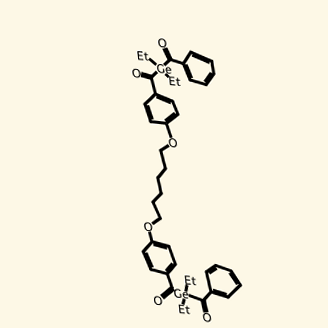 C[CH2][Ge]([CH2]C)([C](=O)c1ccccc1)[C](=O)c1ccc(OCCCCCCOc2ccc([C](=O)[Ge]([CH2]C)([CH2]C)[C](=O)c3ccccc3)cc2)cc1